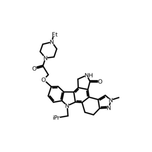 CCN1CCN(C(=O)COc2ccc3c(c2)c2c4c(c5c(c2n3CC(C)C)CCc2nn(C)cc2-5)C(=O)NC4)CC1